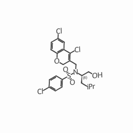 CC(C)C[C@H](CO)N(CC1=C(Cl)c2cc(Cl)ccc2OC1)S(=O)(=O)c1ccc(Cl)cc1